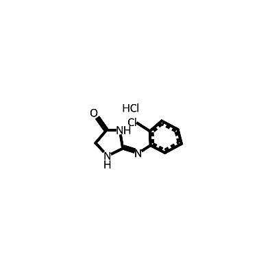 Cl.O=C1CNC(=Nc2ccccc2Cl)N1